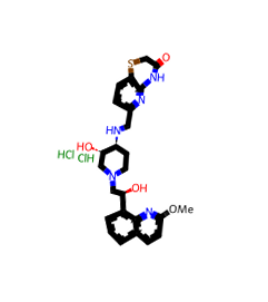 COc1ccc2cccc([C@H](O)CN3CC[C@@H](NCc4ccc5c(n4)NC(=O)CS5)[C@@H](O)C3)c2n1.Cl.Cl